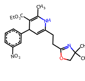 CCOC(=O)C1=C(C)NC(CCC2=NC(C)(C)CO2)=CC1c1cccc([N+](=O)[O-])c1